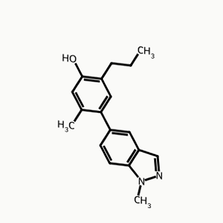 CCCc1cc(-c2ccc3c(cnn3C)c2)c(C)cc1O